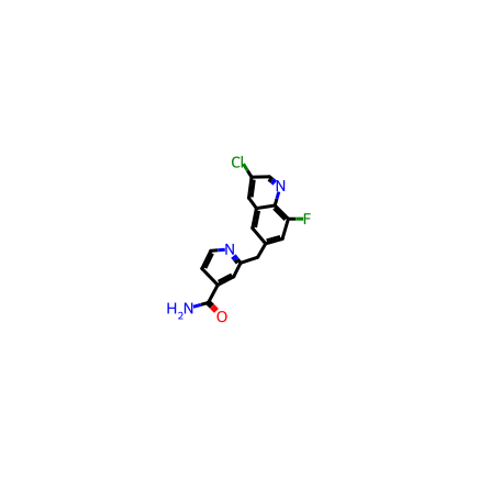 NC(=O)c1ccnc(Cc2cc(F)c3ncc(Cl)cc3c2)c1